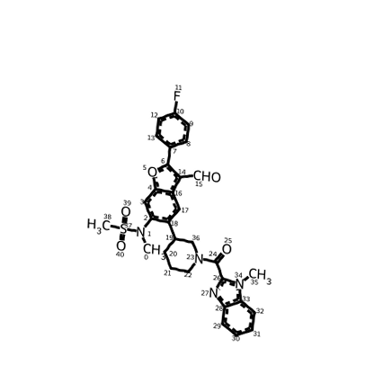 CN(c1cc2oc(-c3ccc(F)cc3)c(C=O)c2cc1C1CCCN(C(=O)c2nc3ccccc3n2C)C1)S(C)(=O)=O